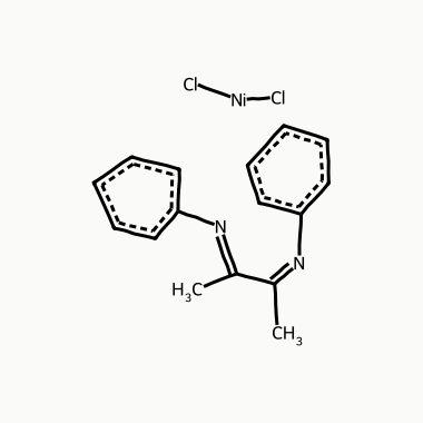 CC(=Nc1ccccc1)C(C)=Nc1ccccc1.[Cl][Ni][Cl]